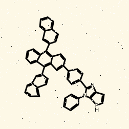 c1ccc(-n2c(-c3ccc(-c4ccc5c(-c6ccc7ccccc7c6)c6ccccc6c(-c6ccc7ccccc7c6)c5c4)cc3)nc3cc[pH]c32)cc1